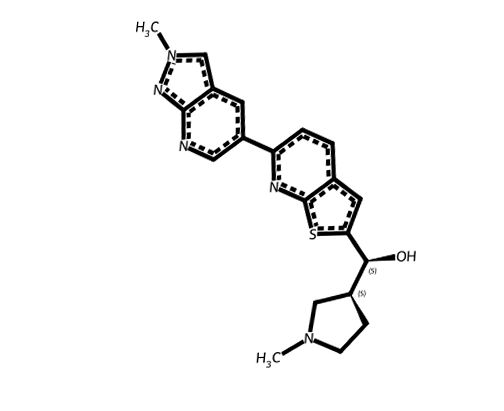 CN1CC[C@H]([C@H](O)c2cc3ccc(-c4cnc5nn(C)cc5c4)nc3s2)C1